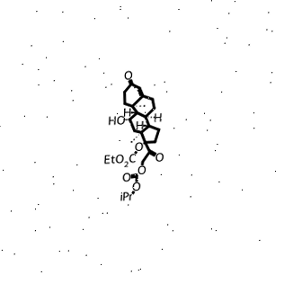 CCOC(=O)O[C@]1(C(=O)COC(=O)OC(C)C)CC[C@H]2[C@@H]3CCC4=CC(=O)CC[C@]4(C)[C@H]3[C@@H](O)C[C@@]21C